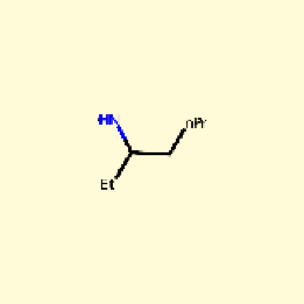 CCCCC([NH])CC